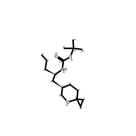 CCC[C@H](C[C@H]1CCC2(CC2)OC1)NC(=O)OC(C)(C)C